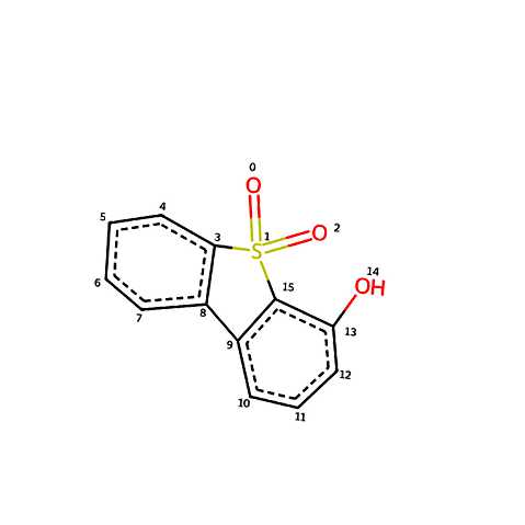 O=S1(=O)c2ccccc2-c2cccc(O)c21